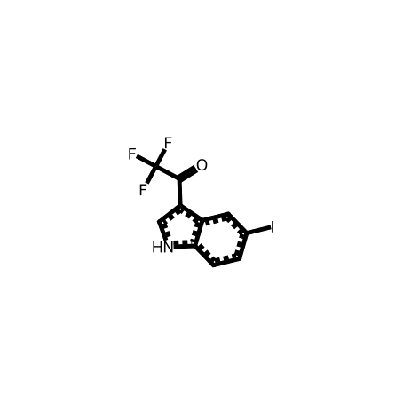 O=C(c1c[nH]c2ccc(I)cc12)C(F)(F)F